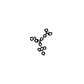 CC1(C)c2ccccc2-c2ccc(N(c3ccc(-c4ccc(N(c5ccccc5)c5ccccc5)cc4)cc3)c3ccc(-c4c5ccccc5c(-c5ccccc5)c5ccccc45)cc3)cc21